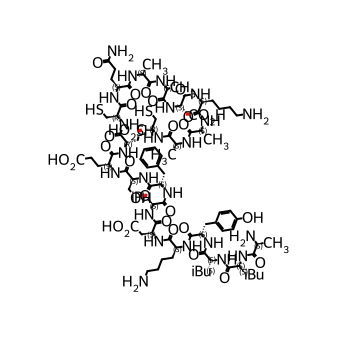 CC[C@H](C)[C@H](NC(=O)[C@H](C)N)C(=O)N[C@H](C(=O)N[C@@H](Cc1ccc(O)cc1)C(=O)N[C@@H](CCCCN)C(=O)N[C@@H](CC(=O)O)C(=O)N[C@H](C(=O)N[C@@H](Cc1ccccc1)C(=O)N[C@@H](CO)C(=O)N[C@@H](CCC(=O)O)C(=O)N[C@@H](CS)C(=O)N[C@@H](CS)C(=O)N[C@@H](CCC(N)=O)C(=O)N[C@@H](C)C(=O)N[C@@H](C)C(=O)N[C@@H](CC(=O)O)C(=O)N[C@@H](CCCCN)C(=O)N[C@@H](C)C(=O)N[C@@H](C)C(=O)N[C@@H](CS)C(=O)O)C(C)C)[C@@H](C)CC